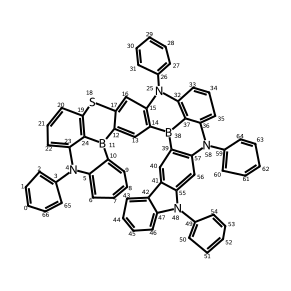 c1ccc(N2c3ccccc3B3c4cc5c(cc4Sc4cccc2c43)N(c2ccccc2)c2cccc3c2B5c2cc4c5ccccc5n(-c5ccccc5)c4cc2N3c2ccccc2)cc1